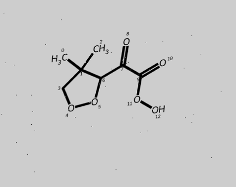 CC1(C)COOC1C(=O)C(=O)OO